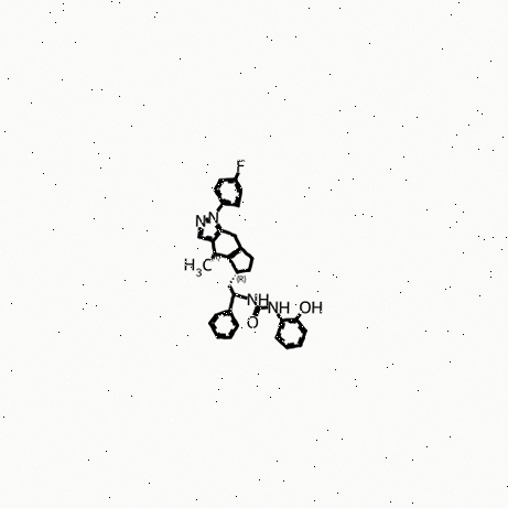 C[C@@H]1C2=C(CC[C@@H]2CC(NC(=O)Nc2ccccc2O)c2ccccc2)Cc2c1cnn2-c1ccc(F)cc1